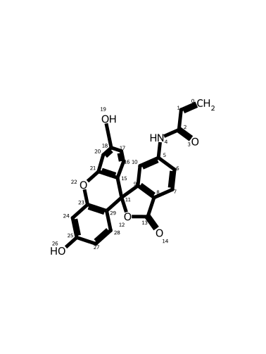 C=CC(=O)Nc1ccc2c(c1)C1(OC2=O)c2ccc(O)cc2Oc2cc(O)ccc21